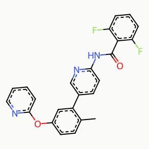 Cc1ccc(Oc2ccccn2)cc1-c1ccc(NC(=O)c2c(F)cccc2F)nc1